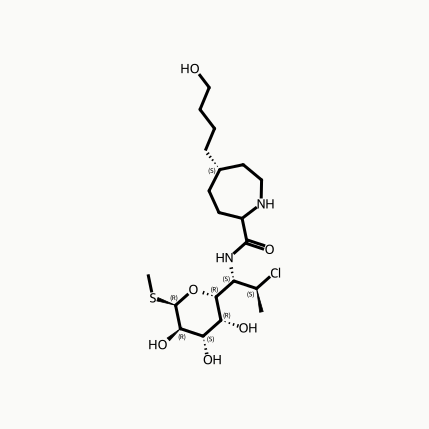 CS[C@H]1O[C@H]([C@H](NC(=O)C2CC[C@H](CCCCO)CCN2)[C@H](C)Cl)[C@H](O)[C@H](O)[C@H]1O